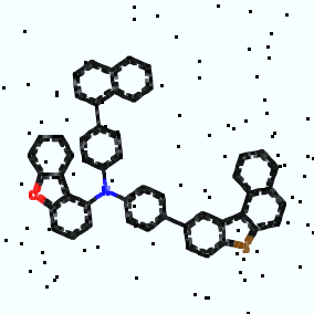 c1ccc2c(-c3ccc(N(c4ccc(-c5ccc6sc7ccc8ccccc8c7c6c5)cc4)c4cccc5oc6ccccc6c45)cc3)cccc2c1